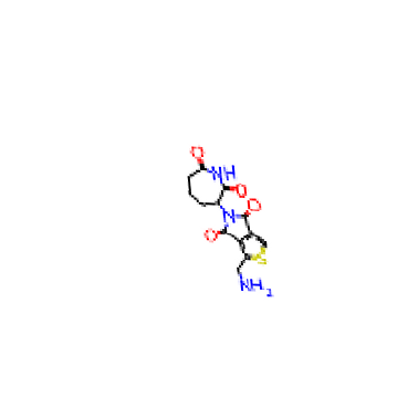 NCc1scc2c1C(=O)N([C@H]1CCCC(=O)NC1=O)C2=O